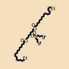 CC/C=C\C/C=C\C/C=C\CCCCCCCC(=O)OCCCC(CCCOC(=O)CCCCCCC/C=C\C/C=C\C/C=C\CC)OC(=O)N(CCCN(C)C)CCCN(C)C